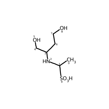 CC(NC(CO)CCO)S(=O)(=O)O